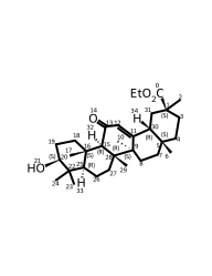 CCOC(=O)[C@@]1(C)CC[C@]2(C)CC[C@]3(C)C(=CC(=O)[C@@H]4[C@@]5(C)CC[C@H](O)C(C)(C)[C@@H]5CC[C@]43C)[C@@H]2C1